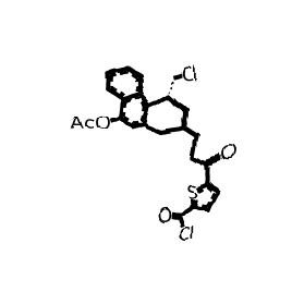 CC(=O)Oc1cc2c(c3ccccc13)[C@H](CCl)CC(CCC(=O)c1ccc(C(=O)Cl)s1)C2